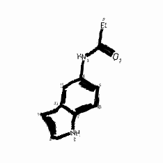 CCC(=O)Nc1ccc2[nH]ccc2c1